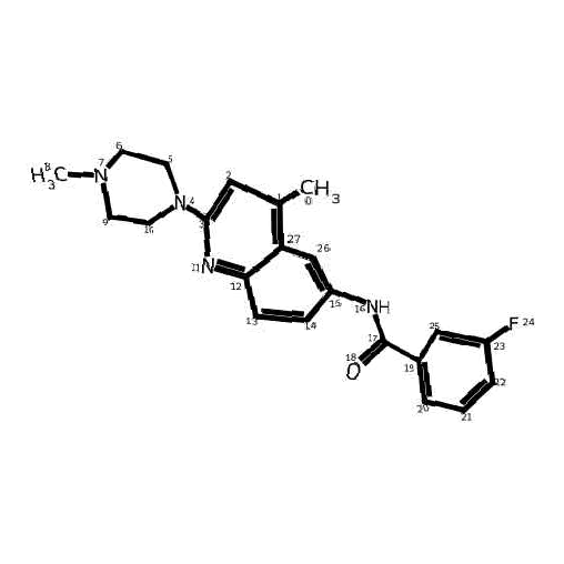 Cc1cc(N2CCN(C)CC2)nc2ccc(NC(=O)c3cccc(F)c3)cc12